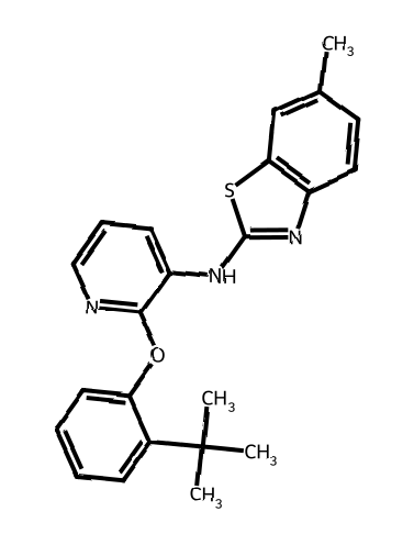 Cc1ccc2nc(Nc3cccnc3Oc3ccccc3C(C)(C)C)sc2c1